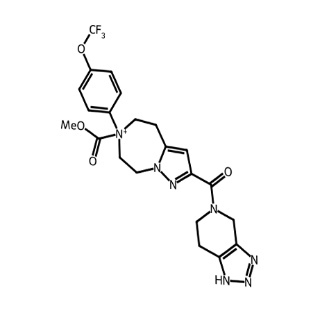 COC(=O)[N+]1(c2ccc(OC(F)(F)F)cc2)CCc2cc(C(=O)N3CCc4[nH]nnc4C3)nn2CC1